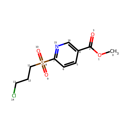 COC(=O)c1ccc(S(=O)(=O)CCCCl)nc1